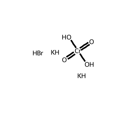 Br.[KH].[KH].[O]=[Cr](=[O])([OH])[OH]